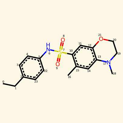 CCc1ccc(NS(=O)(=O)c2cc3c(cc2C)N(C)CCO3)cc1